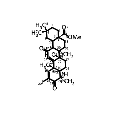 COC(=O)[C@]12CCC(C)(C)CC1C1C(=O)C=C3[C@@]4(C)C=C(I)C(=O)[C@@H](C)[C@@H]4CC[C@@]3(C)[C@]1(C)CC2